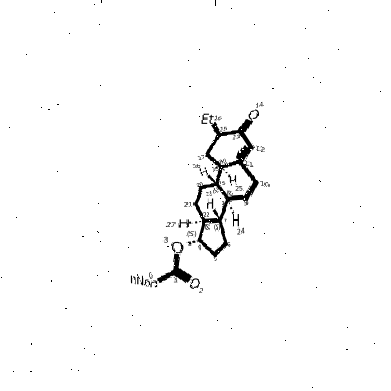 CCCCCCCCCC(=O)O[C@H]1CC[C@H]2[C@@H]3CCC4=CC(=O)C(CC)C[C@@H]4[C@H]3CC[C@@H]21